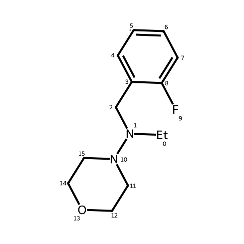 CCN(Cc1c[c]ccc1F)N1CCOCC1